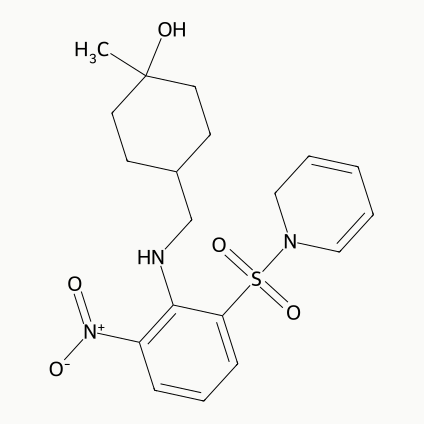 CC1(O)CCC(CNc2c([N+](=O)[O-])cccc2S(=O)(=O)N2C=CC=CC2)CC1